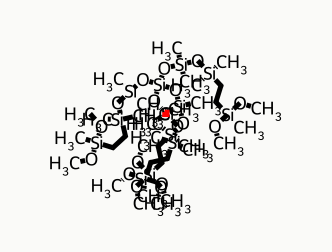 CO[Si](C)(CC[Si](C)(C)O[Si](C)(C)O[Si](O[Si](C)(C)O[Si](C)(C)CC[Si](C)(OC)OC)(O[Si](C)(C)O[Si](C)(C)CC[Si](C)(OC)OC)O[Si](C)(C)O[Si](C)(C)CC[Si](OC)(OC)OC)OC